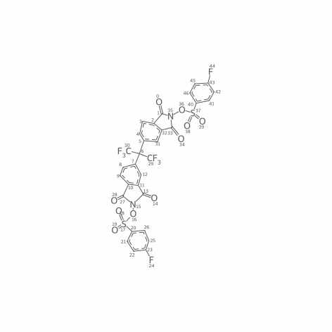 O=C1c2ccc(C(c3ccc4c(c3)C(=O)N(OS(=O)(=O)c3ccc(F)cc3)C4=O)(C(F)(F)F)C(F)(F)F)cc2C(=O)N1OS(=O)(=O)c1ccc(F)cc1